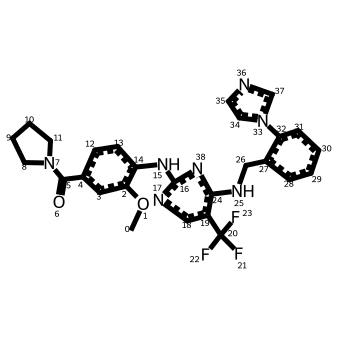 COc1cc(C(=O)N2CCCC2)ccc1Nc1ncc(C(F)(F)F)c(NCc2ccccc2-n2ccnc2)n1